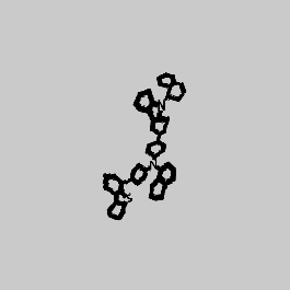 C1=Cc2ccccc2C(n2c3ccccc3c3cc(-c4ccc(N(c5ccc(-c6cccc7c6sc6ccccc67)cc5)c5cccc6ccccc56)cc4)ccc32)C1